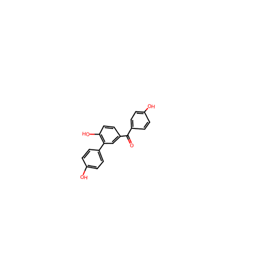 O=C(c1ccc(O)cc1)c1ccc(O)c(-c2ccc(O)cc2)c1